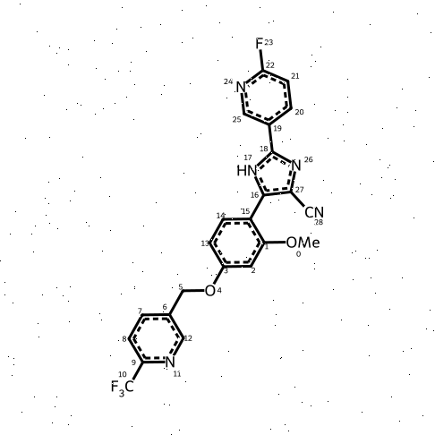 COc1cc(OCc2ccc(C(F)(F)F)nc2)ccc1-c1[nH]c(-c2ccc(F)nc2)nc1C#N